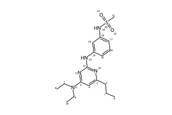 CCCc1cc(N(CC)CC)nc(Nc2cccc(NS(C)(=O)=O)c2)n1